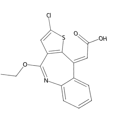 CCOC1=Nc2ccccc2/C(=C/C(=O)O)c2sc(Cl)cc21